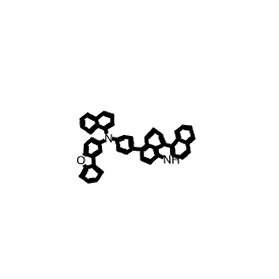 c1ccc2c(N(c3ccc(-c4ccc5c6c(cccc46)-c4c(ccc6ccccc46)N5)cc3)c3ccc4oc5ccccc5c4c3)cccc2c1